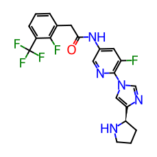 O=C(Cc1cccc(C(F)(F)F)c1F)Nc1cnc(-n2cnc([C@H]3CCCN3)c2)c(F)c1